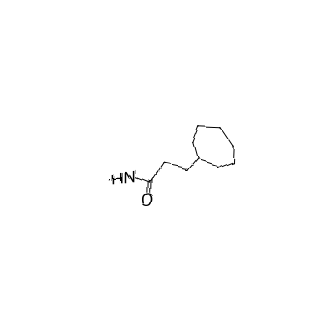 [NH]C(=O)CCC1CCCCCC1